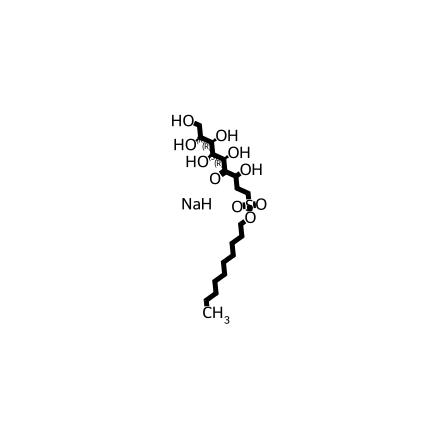 CCCCCCCCCCOS(=O)(=O)CCC(O)C(=O)[C@H](O)[C@@H](O)[C@H](O)[C@H](O)CO.[NaH]